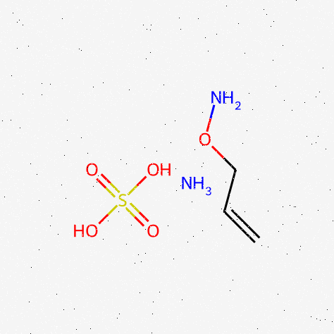 C=CCON.N.O=S(=O)(O)O